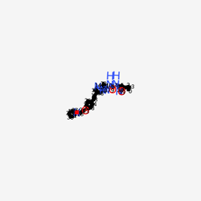 CC(C)(C)c1cc(NC(=O)Nc2cc3ncc(C#Cc4ccc(OCCN5CC6CCC5C6)cc4)cn3n2)no1